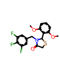 COc1cccc(OC)c1C1SCC(=O)N1Cc1cc(F)c(F)c(F)c1